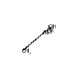 CCCCCCCCCCCCCCCCCCNCC(O)CC(=O)O